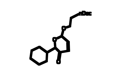 CCCCCCCCCCCCOC1C=CC(=O)C(C2CCCCC2)O1